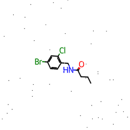 CCCC(=O)NCc1ccc(Br)cc1Cl